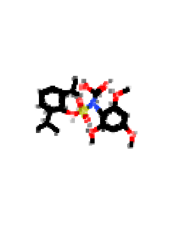 COc1cc(OC)c(N(C(=O)O)S(=O)(=O)Oc2c(C(C)C)cccc2C(C)C)c(OC)c1